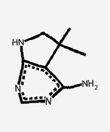 CC1(C)CNc2ncnc(N)c21